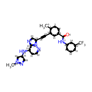 Cc1ccc(C(=O)Nc2cccc(C(F)(F)F)c2)cc1C#Cc1cnc2c(Nc3cnn(C)c3)ccnn12